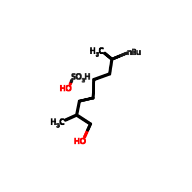 CCCCC(C)CCCCC(C)CO.O=S(=O)(O)O